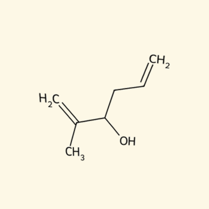 C=CCC(O)C(=C)C